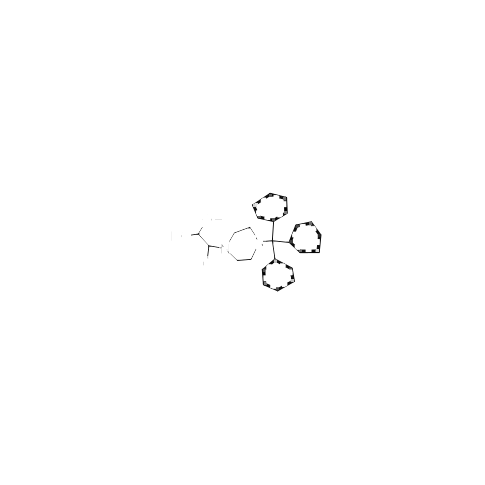 CC(O)C(Cl)N1CCN(C(c2ccccc2)(c2ccccc2)c2ccccc2)CC1